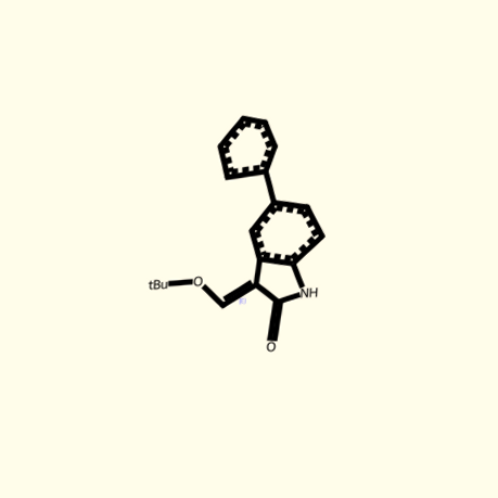 CC(C)(C)O/C=C1/C(=O)Nc2ccc(-c3ccccc3)cc21